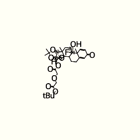 CC(C)(C)OC(=O)COCC(=O)OCC(=O)[C@@]12OC(C)(C)O[C@@H]1CC1C3CCC4=CC(=O)C=CC4(C)[C@@]3(F)[C@@H](O)CC12C